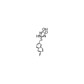 O=c1nc(SCc2ccc3cc(F)ccc3c2)[nH]nc1O